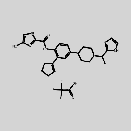 CC(c1ncc[nH]1)N1CCC(c2ccc(NC(=O)c3nc(C#N)c[nH]3)c(C3=CCCC3)c2)CC1.O=C(O)C(F)(F)F